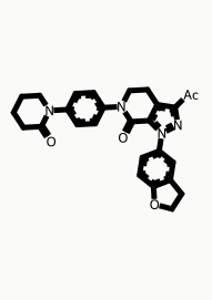 CC(=O)c1nn(-c2ccc3c(c2)CCO3)c2c1CCN(c1ccc(N3CCCCC3=O)cc1)C2=O